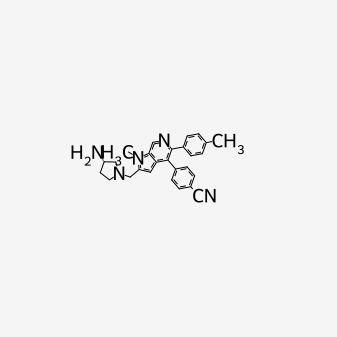 Cc1ccc(-c2ncc3c(cc(CN4CC[C@H](N)C4)n3C)c2-c2ccc(C#N)cc2)cc1